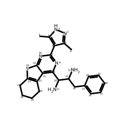 Cc1n[nH]c(C)c1-c1nc(C(N)C(N)Cc2ccccc2)c2c3c(sc2n1)CCCC3